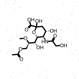 CO[C@H](COC(C)=O)[C@@H](O)[C@@H]1OC(O)(C(=O)O)C[C@H](O)[C@H]1NC(=O)CO